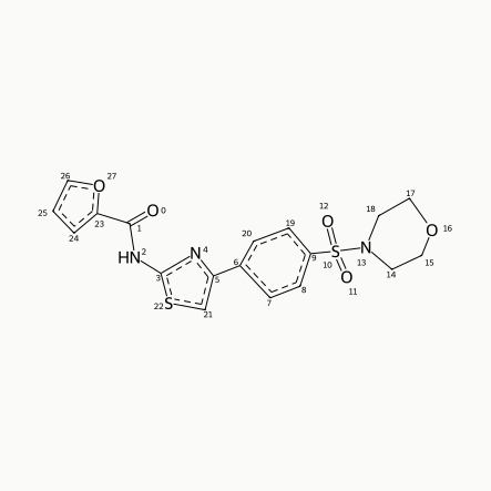 O=C(Nc1nc(-c2ccc(S(=O)(=O)N3CCOCC3)cc2)cs1)c1ccco1